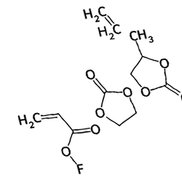 C=C.C=CC(=O)OF.CC1COC(=O)O1.O=C1OCCO1